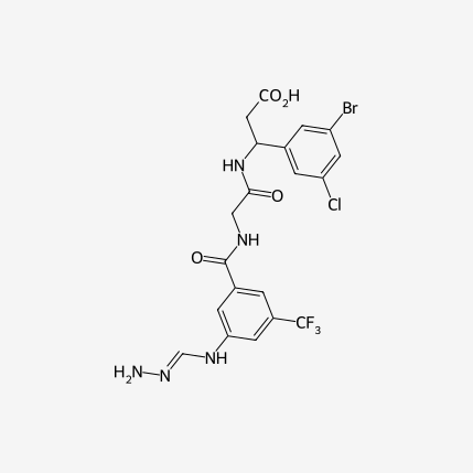 NN=CNc1cc(C(=O)NCC(=O)NC(CC(=O)O)c2cc(Cl)cc(Br)c2)cc(C(F)(F)F)c1